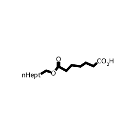 CCCCCCCCOC(=O)CCCCCC(=O)O